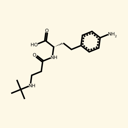 CC(C)(C)NCCC(=O)N[C@@H](CCc1ccc(N)cc1)C(=O)O